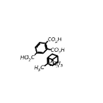 CC1=C2CC(CC1)C2(C)C.O=C(O)c1ccc(C(=O)O)c(C(=O)O)c1